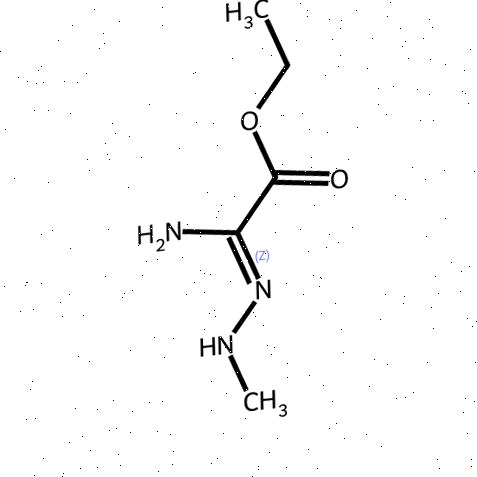 CCOC(=O)/C(N)=N/NC